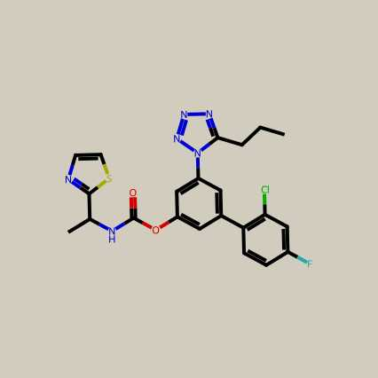 CCCc1nnnn1-c1cc(OC(=O)NC(C)c2nccs2)cc(-c2ccc(F)cc2Cl)c1